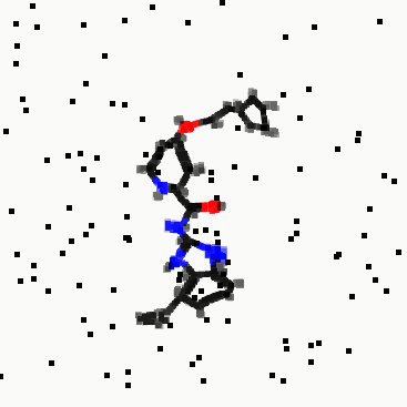 O=C(Nc1nc2c(C(=O)O)cccc2[nH]1)c1cc(OCCC2CCCC2)ccn1